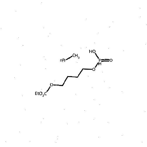 CCCC.CCOC(=O)OCCCCO[PH](=O)O